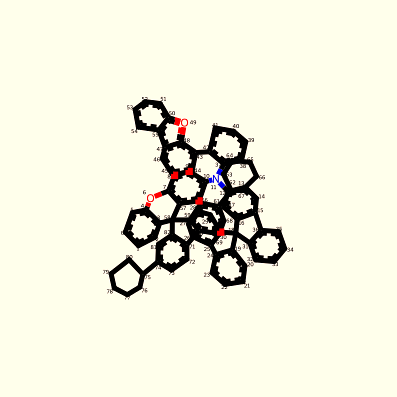 c1ccc2c(c1)Oc1ccc(N(c3ccc4c(c3)C3(c5ccccc5-c5ccccc53)c3ccccc3-4)c3ccccc3-c3cccc4c3oc3ccccc34)cc1C21c2cc(C3CCCCC3)ccc2-c2ccc(C3CCCCC3)cc21